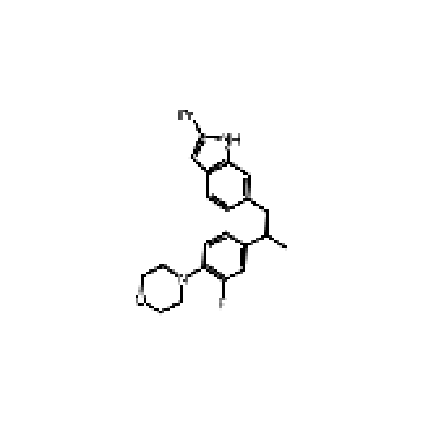 CC(C)c1cc2ccc(CC(C)c3ccc(N4CCOCC4)c(F)c3)cc2[nH]1